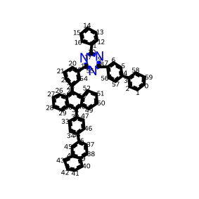 c1ccc(-c2ccc(-c3nc(-c4ccccc4)nc(-c4cccc(-c5c6ccccc6c(-c6ccc(-c7ccc8ccccc8c7)cc6)c6ccccc56)c4)n3)cc2)cc1